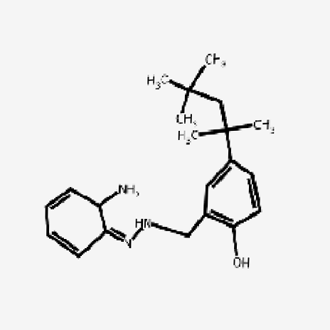 CC(C)(C)CC(C)(C)c1ccc(O)c(CN/N=C2/C=CC=CC2N)c1